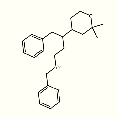 CC1(C)CC(C(CCNCc2ccccc2)Cc2ccccc2)CCO1